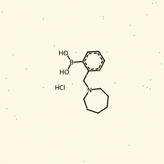 Cl.OB(O)c1ccccc1CN1CCCCCC1